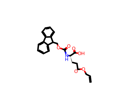 C=CCOC(=O)CC[C@H](NC(=O)OCC1c2ccccc2-c2ccccc21)C(=O)O